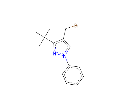 CC(C)(C)c1nn(-c2ccccc2)cc1CBr